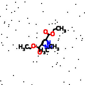 CC.CCOC(=O)c1cc(C(=O)OCC)[nH]n1